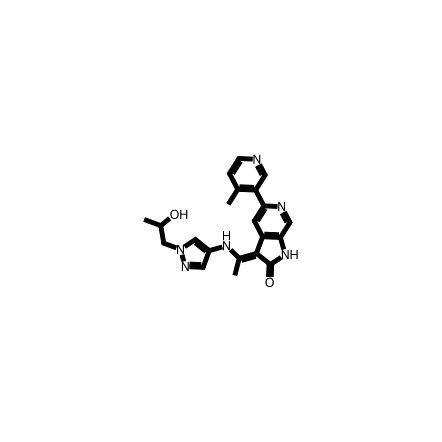 CC(Nc1cnn(CC(C)O)c1)=C1C(=O)Nc2cnc(-c3cnccc3C)cc21